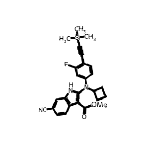 COC(=O)c1c(N(c2ccc(C#C[Si](C)(C)C)c(F)c2)C2CCC2)[nH]c2cc(C#N)ccc12